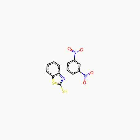 O=[N+]([O-])c1cccc([N+](=O)[O-])c1.Sc1nc2ccccc2s1